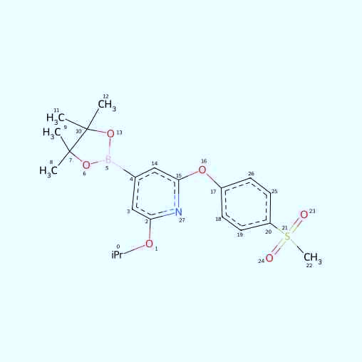 CC(C)Oc1cc(B2OC(C)(C)C(C)(C)O2)cc(Oc2ccc(S(C)(=O)=O)cc2)n1